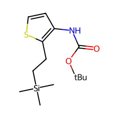 CC(C)(C)OC(=O)Nc1ccsc1CC[Si](C)(C)C